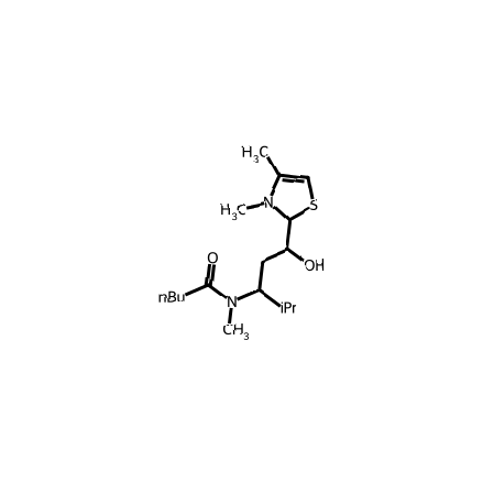 CCCCC(=O)N(C)C(CC(O)C1SC=C(C)N1C)C(C)C